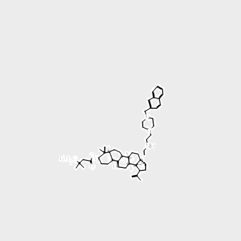 C=C(C)C1CC[C@]2(CCNCCN3CCN(Cc4ccc5ccccc5c4)CC3)CC[C@]3(C)[C@H](CC[C@@H]4[C@@]5(C)CC[C@H](OC(=O)CC(C)(C)C(=O)O)C(C)(C)[C@@H]5CC[C@]43C)[C@@H]12